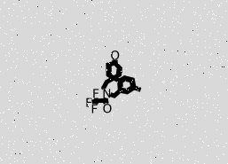 Cc1ccc2c(c1)CN(C(=O)C(F)(F)F)CCC21C=CC(=O)C=C1